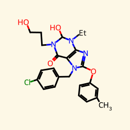 CCN1c2nc(Oc3cccc(C)c3)n(Cc3ccc(Cl)cc3)c2C(=O)N(CCCO)C1O